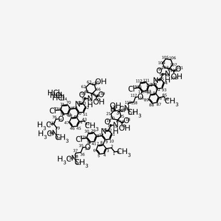 CCCc1ccccc1-c1ccc(C(=O)NC2(C(=O)O)CCC(O)CC2)nc1-c1ccc(Cl)c(OCCCN(C)C)c1.CCc1ccccc1-c1ccc(C(=O)NC2(C(=O)O)CCCC(O)C2)nc1-c1ccc(Cl)c(OCC(C)CN(C)C)c1.CCc1ccccc1-c1ccc(C(=O)NC2(C(=O)O)CCCCC2)nc1-c1ccc(Cl)c(OCCCN(C)C)c1.Cl.Cl.Cl